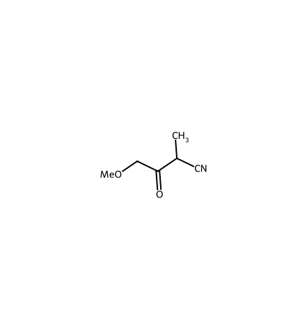 COCC(=O)C(C)C#N